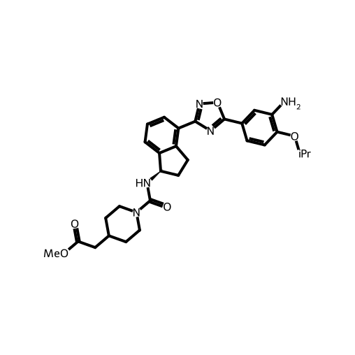 COC(=O)CC1CCN(C(=O)N[C@@H]2CCc3c(-c4noc(-c5ccc(OC(C)C)c(N)c5)n4)cccc32)CC1